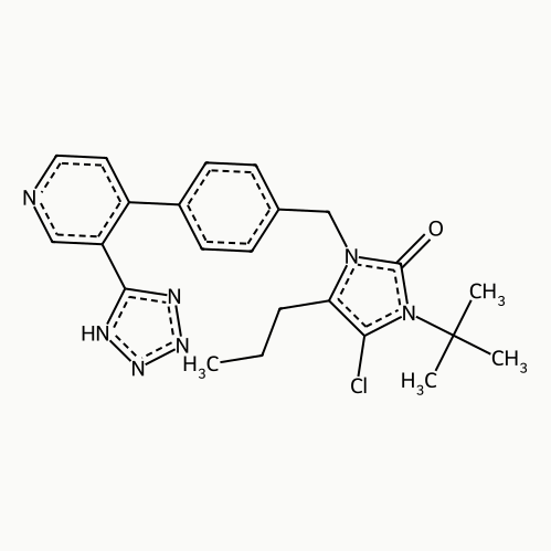 CCCc1c(Cl)n(C(C)(C)C)c(=O)n1Cc1ccc(-c2ccncc2-c2nnn[nH]2)cc1